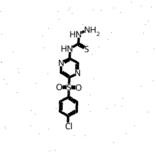 NNC(=S)Nc1cnc(S(=O)(=O)c2ccc(Cl)cc2)cn1